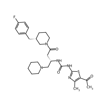 CC(=O)c1sc(NC(=O)N[C@@H](CC(=O)N2CCC[C@@H](Cc3ccc(F)cc3)C2)CN2CCCCC2)nc1C